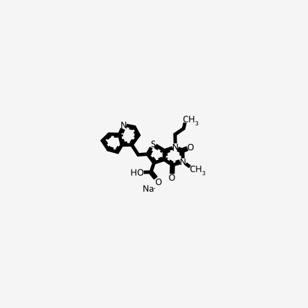 CCCn1c(=O)n(C)c(=O)c2c(C(=O)O)c(Cc3ccnc4ccccc34)sc21.[Na]